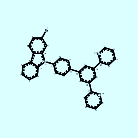 Brc1ccc2c3ccccc3n(-c3ccc(-c4cc(-c5ccccn5)cc(-c5ccccn5)c4)cc3)c2c1